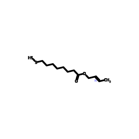 C/C=C/COC(=O)CCCCCCCSS